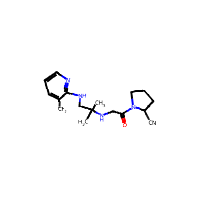 CC(C)(CNc1ncccc1C(F)(F)F)NCC(=O)N1CCCC1C#N